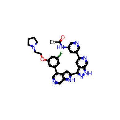 CCC(=O)Nc1cncc(-c2cc3c(-c4cc5c(-c6cc(F)cc(OCCN7CCCC7)c6)cncc5[nH]4)n[nH]c3cn2)c1